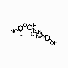 N#Cc1ccc(O[C@H]2CC[C@H](NC(=O)c3ncc(N4CCC(CO)CC4)cn3)CC2)cc1Cl